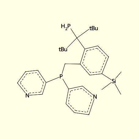 CC(C)(C)C(P)(c1ccc([Si](C)(C)C)cc1CP(c1cccnc1)c1cccnc1)C(C)(C)C